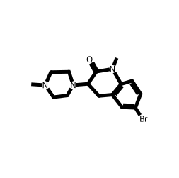 CN1CCN(C2Cc3cc(Br)ccc3N(C)C2=O)CC1